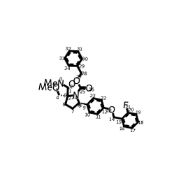 CNC(=O)[C@]1(COC)CC[C@H](c2ccc(OCc3ccccc3F)cc2)N1C(=O)OCc1ccccc1